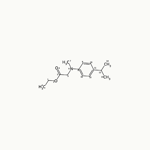 CCOC(=O)CN(C)c1ccc(C(C)C)cc1